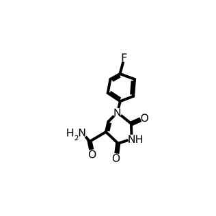 NC(=O)c1cn(-c2ccc(F)cc2)c(=O)[nH]c1=O